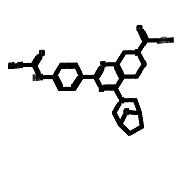 CCCCCCC(=O)N1CCc2c(nc(-c3ccc(NC(=O)NC)cc3)nc2N2CC3CCC(C2)O3)C1